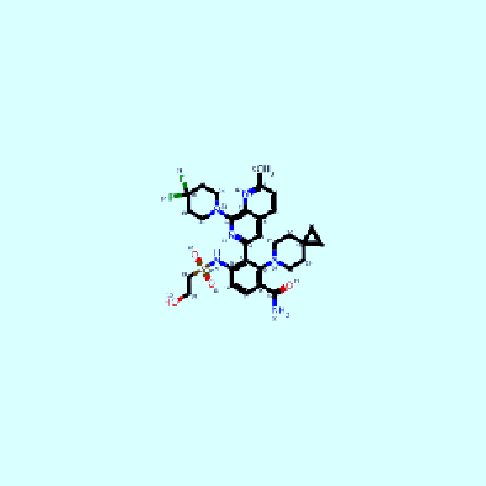 Cc1ccc2cc(-c3c(NS(=O)(=O)CCO)ccc(C(N)=O)c3N3CCC4(CC3)CC4)nc(N3CCC(F)(F)CC3)c2n1